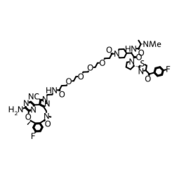 CN[C@@H](C)C(=O)N[C@H](C(=O)N1CCC[C@H]1C1=NC(C(=O)c2ccc(F)cc2)CS1)C1CCN(C(=O)CCOCCOCCOCCOCCC(=O)NCCn2nc3c(c2C#N)-c2cnc(N)c(n2)O[C@H](C)c2cc(F)ccc2C(=O)N(C)C3)CC1